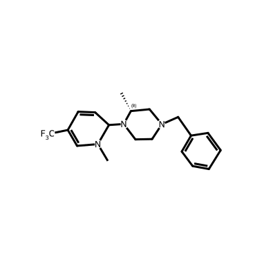 C[C@@H]1CN(Cc2ccccc2)CCN1C1C=CC(C(F)(F)F)=CN1C